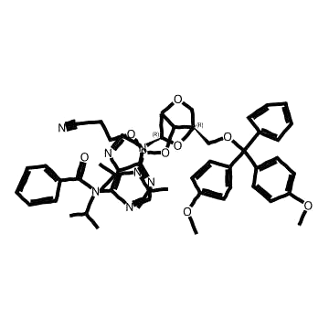 COc1ccc(C(OC[C@]23COC(C2OP(OCCC#N)N(C(C)C)C(C)C)[C@H](n2cnc4c(N(C(=O)c5ccccc5)C(C)C)ncnc42)O3)(c2ccccc2)c2ccc(OC)cc2)cc1